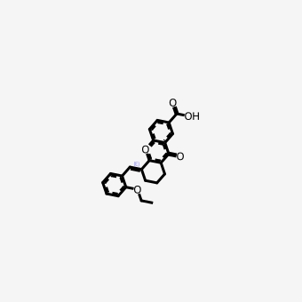 CCOc1ccccc1/C=C1\CCCc2c1oc1ccc(C(=O)O)cc1c2=O